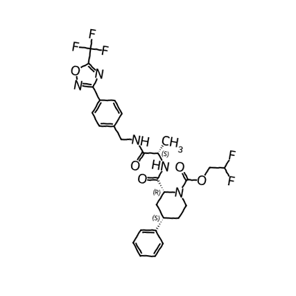 C[C@H](NC(=O)[C@H]1C[C@@H](c2ccccc2)CCN1C(=O)OCC(F)F)C(=O)NCc1ccc(-c2noc(C(F)(F)F)n2)cc1